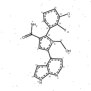 NC(=O)c1cc(-c2ccnc3[nH]ccc23)n(CO)c1-c1cccc(Cl)c1F